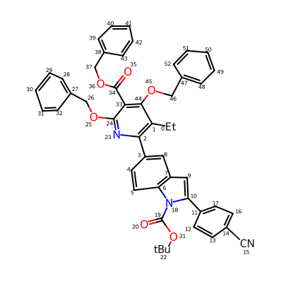 CCc1c(-c2ccc3c(c2)cc(-c2ccc(C#N)cc2)n3C(=O)OC(C)(C)C)nc(OCc2ccccc2)c(C(=O)OCc2ccccc2)c1OCc1ccccc1